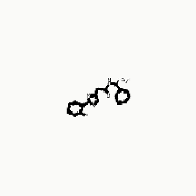 O=C(Cc1csc(-c2ccccc2F)n1)N[C@@H](C(=O)O)c1ccccc1